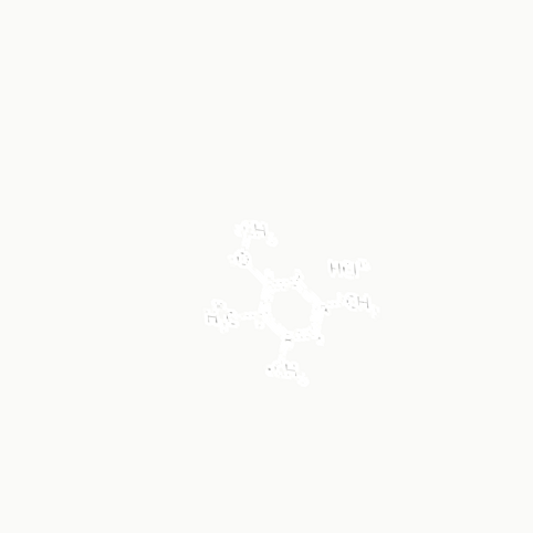 COc1cc(C)cc(C)c1C.Cl